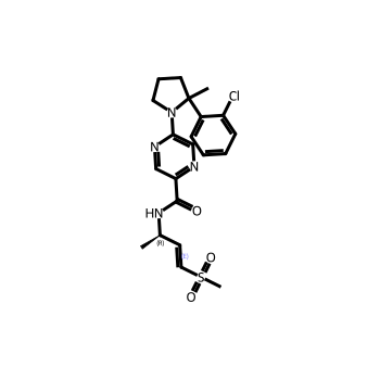 C[C@H](/C=C/S(C)(=O)=O)NC(=O)c1cnc(N2CCCC2(C)c2ccccc2Cl)cn1